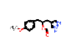 COc1ccc(CC(Cc2cn[nH]c2)OC=O)cc1